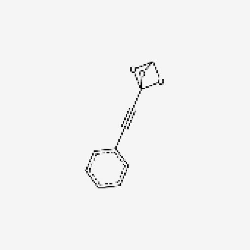 C(#CC12OC(O1)O2)c1ccccc1